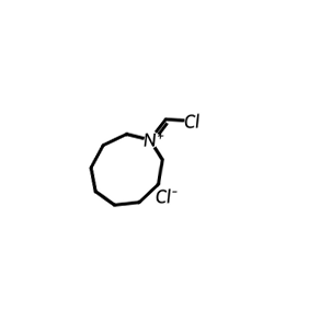 ClC=[N+]1CCCCCCCC1.[Cl-]